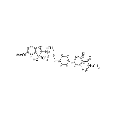 COc1cccc([C@@](O)(C(=O)N(C)CCCC2CCN(c3ccc(C(=O)N(C)C)c(Cl)n3)CC2)C(F)(F)F)c1